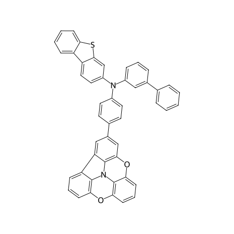 c1ccc(-c2cccc(N(c3ccc(-c4cc5c6c(c4)c4cccc7c4n6-c4c(cccc4O5)O7)cc3)c3ccc4c(c3)sc3ccccc34)c2)cc1